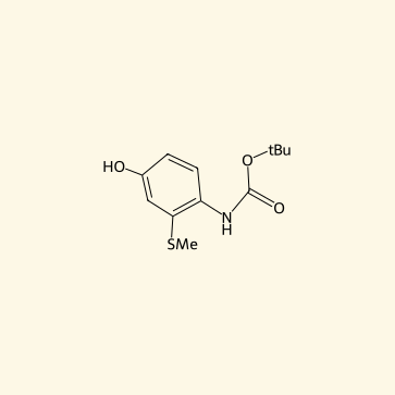 CSc1cc(O)ccc1NC(=O)OC(C)(C)C